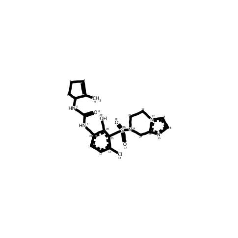 CC1=CCCC1NC(=O)Nc1ccc(Cl)c(S(=O)(=O)N2CCn3ccnc3C2)c1O